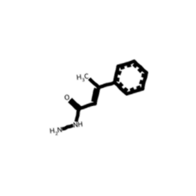 CC(=CC(=O)NN)c1ccccc1